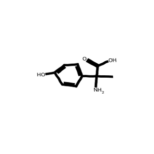 CC(N)(C(=O)O)c1ccc(O)cc1